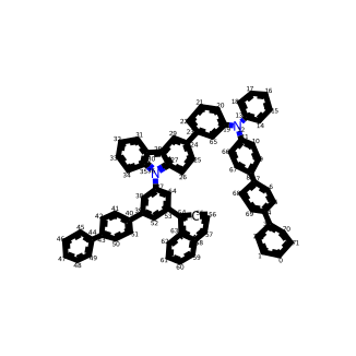 c1ccc(-c2ccc(-c3ccc(N(c4ccccc4)c4cccc(-c5ccc6c(c5)c5ccccc5n6-c5cc(-c6ccc(-c7ccccc7)cc6)cc(-c6cccc7ccccc67)c5)c4)cc3)cc2)cc1